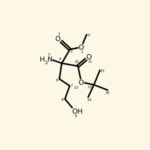 COC(=O)C(N)(CCCO)C(=O)OC(C)(C)C